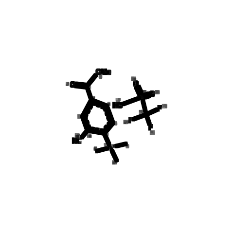 COC(=O)c1ccc([N+](C)(C)C)c(C#N)c1.O=S(=O)(O)C(F)(F)F